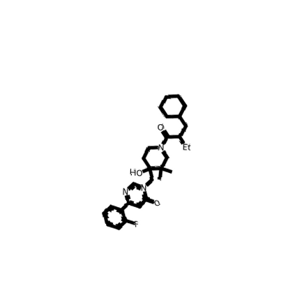 CCC(CC1CCCCC1)C(=O)N1CCC(O)(Cn2cnc(-c3ccccc3F)cc2=O)C(C)(C)C1